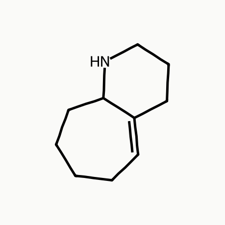 C1=C2CCCNC2CCCC1